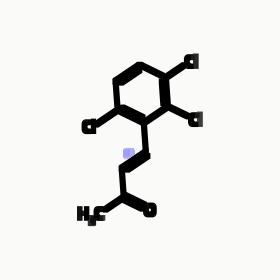 CC(=O)/C=C/c1c(Cl)ccc(Cl)c1Cl